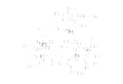 CC(C)C[C@H](NC(=O)[C@@H](NC(=O)[C@H](CC(=O)O)NC(=O)CNC(=O)[C@H](CO)NC(=O)[C@H](CO)NC(=O)[C@H](CO)NC(=O)[C@@H](NC(=O)[C@H](C)NC(=O)[C@@H](NC(=O)[C@H](CO)NC(=O)[C@H](CC(N)=O)NC(=O)[C@@H]1CCCN1C(=O)[C@H](CCCNC(=N)N)NC(=O)CNC(=O)[C@@H](NC(=O)[C@H](CC(C)C)NC(=O)[C@@H](N)CC(C)C)[C@@H](C)O)C(C)C)C(C)C)C(C)C)C(=O)N[C@@H](CO)C(=O)N1CCC[C@H]1C(=O)O